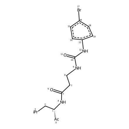 CC(=O)[C@H](CC(C)C)NC(=O)CCNC(=O)Nc1ccc(Br)cc1